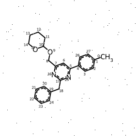 Cc1ccc(-c2cc(COC3CCCCO3)nc(Cc3ccccc3)n2)cc1